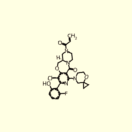 C=CC(=O)N1CCN2C(=O)c3c(N4CCOC5(CC5)C4)nc(-c4c(O)cccc4F)c(Cl)c3OC[C@H]2C1